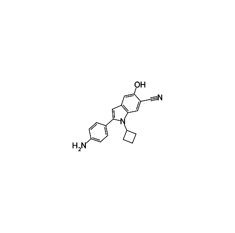 N#Cc1cc2c(cc1O)cc(-c1ccc(N)cc1)n2C1CCC1